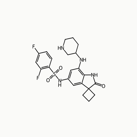 O=C1Nc2c(NC3CCCNC3)cc(NS(=O)(=O)c3ccc(F)cc3F)cc2C12CCC2